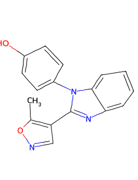 Cc1oncc1-c1nc2ccccc2n1-c1ccc(O)cc1